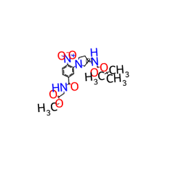 COC(=O)CNC(=O)c1ccc([N+](=O)[O-])c(N2CC[C@@H](NC(=O)OC(C)(C)C)C2)c1